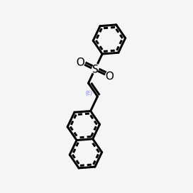 O=S(=O)(/C=C/c1ccc2ccccc2c1)c1ccccc1